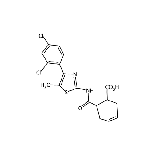 Cc1sc(NC(=O)C2CC=CCC2C(=O)O)nc1-c1ccc(Cl)cc1Cl